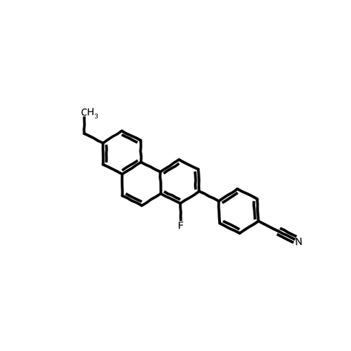 CCc1ccc2c(ccc3c(F)c(-c4ccc(C#N)cc4)ccc32)c1